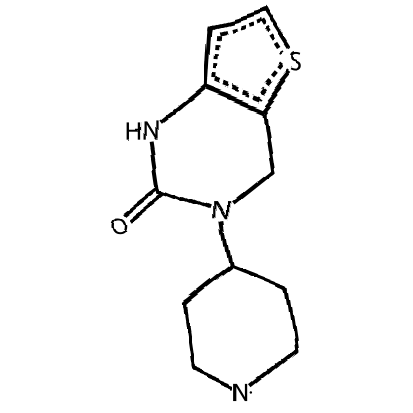 O=C1Nc2ccsc2CN1C1CC[N]CC1